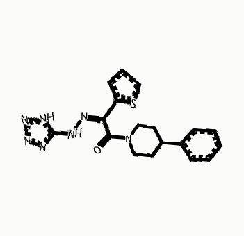 O=C(/C(=N\Nc1nnn[nH]1)c1cccs1)N1CCC(c2ccccc2)CC1